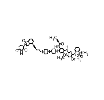 CC#CC(=O)Nc1cc(Nc2ncc(Br)c(Nc3ccccc3P(C)(C)=O)n2)c(OC)cc1N1CCC(N2CCN(CCCC#Cc3cccc4c3CN(C3CCC(=O)NC3=O)C4=O)CC2)CC1